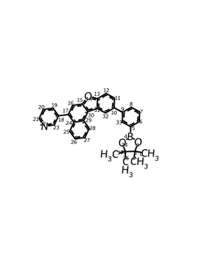 CC1(C)OB(c2cccc(-c3ccc4oc5cc(-c6cccnc6)c6ccccc6c5c4c3)c2)OC1(C)C